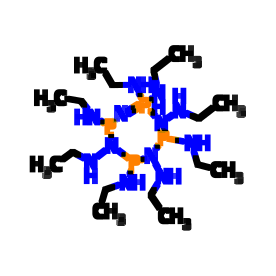 CCNN1P(NCC)N=P(NCC)(NCC)N(NCC)P(NCC)N(NCC)P1NCC